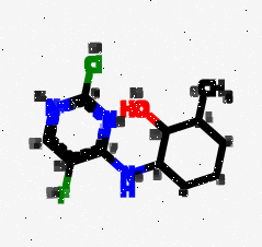 C[C]1CCCC(Nc2nc(Cl)ncc2F)C1O